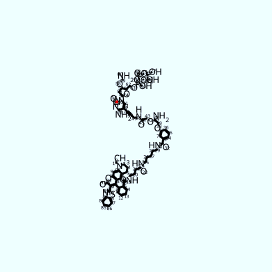 CCN1CCCc2cc3c(-c4ccccc4C(=O)NCCCC(=O)NCCCCCNC(=O)c4cccc(OCC(N)OCC(=O)NCC#CC(=C/N(C=O)C5CC(OCN)C(COP(O)OP(=O)(O)OP(O)O)O5)/C(N)=N\C)c4)c(-c4nc5ccccc5s4)c(=O)oc3cc21